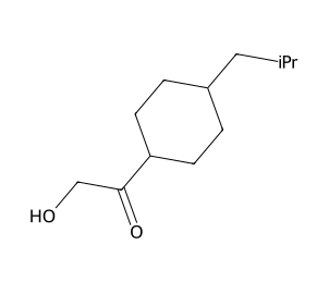 CC(C)CC1CCC(C(=O)CO)CC1